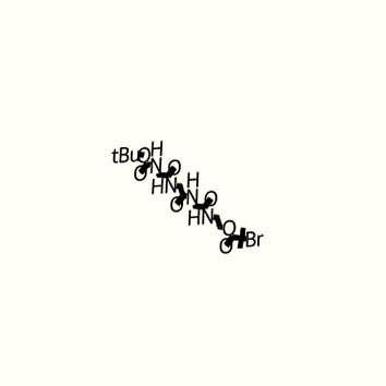 CC(C)(C)OC(=O)NCC(=O)NCC(=O)NCC(=O)NCCOC(=O)C(C)(C)Br